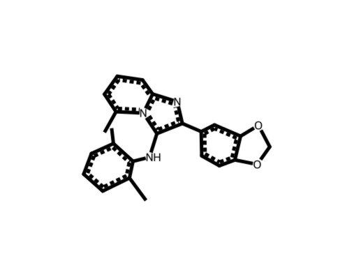 Cc1cccc(C)c1Nc1c(-c2ccc3c(c2)OCO3)nc2cccc(C)n12